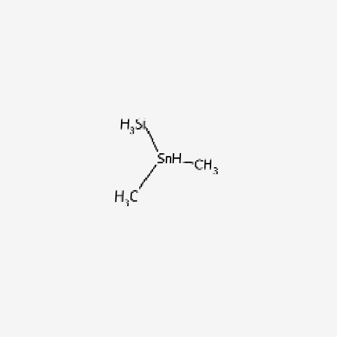 [CH3][SnH]([CH3])[SiH3]